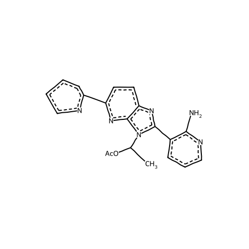 CC(=O)OC(C)n1c(-c2cccnc2N)nc2ccc(-c3ccccn3)nc21